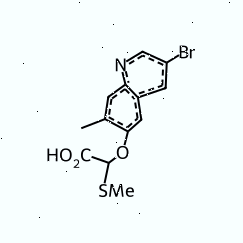 CSC(Oc1cc2cc(Br)cnc2cc1C)C(=O)O